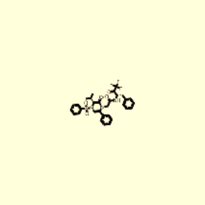 CC(C)[C@H]1C(=O)N(CC(=O)N[C@@H](Cc2ccccc2)C(=O)C(F)(F)F)C(c2ccccc2)=CN1S(=O)(=O)c1ccccc1